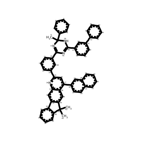 CC1(c2ccccc2)N=C(c2cccc(-c3cc(-c4ccc5ccccc5c4)c4cc5c(cc4n3)-c3ccccc3C5(C)C)c2)N=C(c2cccc(-c3ccccc3)c2)N1